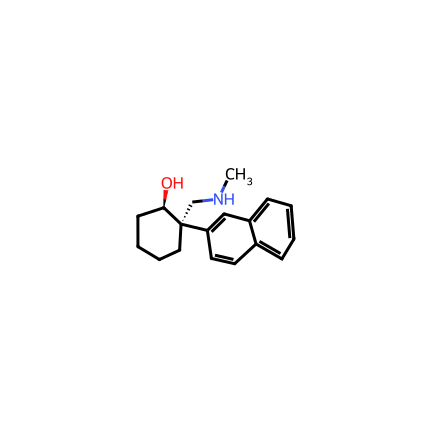 CNC[C@]1(c2ccc3ccccc3c2)CCCC[C@H]1O